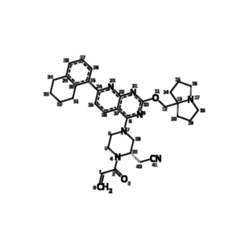 C=CC(=O)N1CCN(c2nc(OCC34CCCN3CCC4)nc3nc(-c4cccc5c4CCCC5)ccc23)C[C@@H]1CC#N